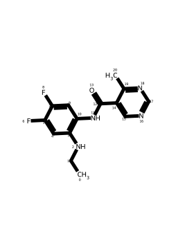 CCNc1cc(F)c(F)cc1NC(=O)c1cncnc1C